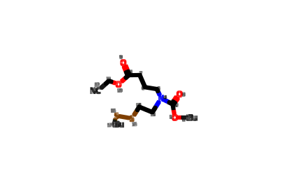 CC(C)(C)OC(=O)N(CCCC(=O)OCC#N)CCSSC(C)(C)C